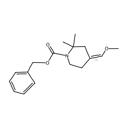 CO/C=C1/CCN(C(=O)OCc2ccccc2)C(C)(C)C1